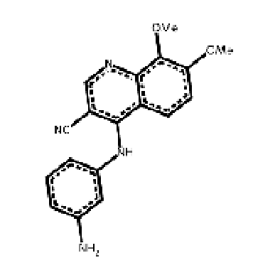 COc1ccc2c(Nc3cccc(N)c3)c(C#N)cnc2c1OC